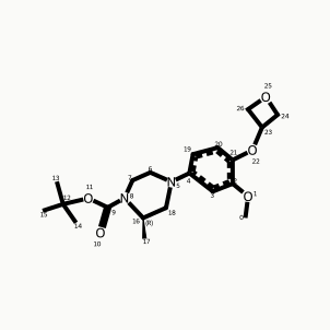 COc1cc(N2CCN(C(=O)OC(C)(C)C)[C@H](C)C2)ccc1OC1COC1